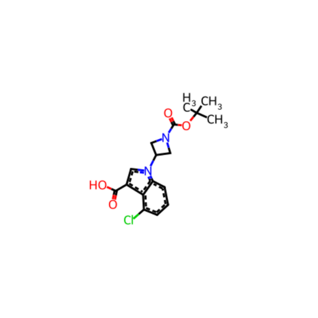 CC(C)(C)OC(=O)N1CC(n2cc(C(=O)O)c3c(Cl)cccc32)C1